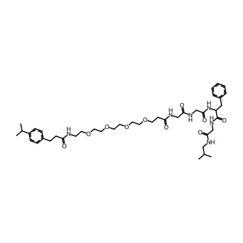 CC(C)CNC(=O)CNC(=O)C(Cc1ccccc1)NC(=O)CNC(=O)CNC(=O)CCOCCOCCOCCOCCNC(=O)CCc1ccc(C(C)C)cc1